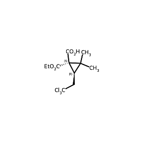 CCOC(=O)[C@@]1(C(=O)O)[C@H](CC(Cl)(Cl)Cl)C1(C)C